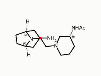 CC(=O)N[C@@H]1CCCN(CCN2[C@@H]3CC[C@H]2CC(N)C3)C1